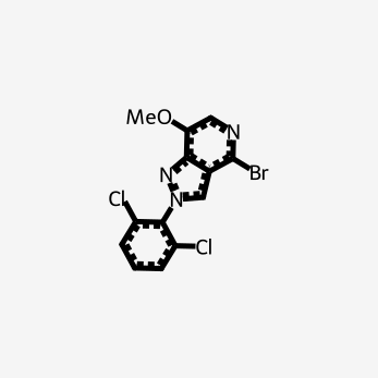 COc1cnc(Br)c2cn(-c3c(Cl)cccc3Cl)nc12